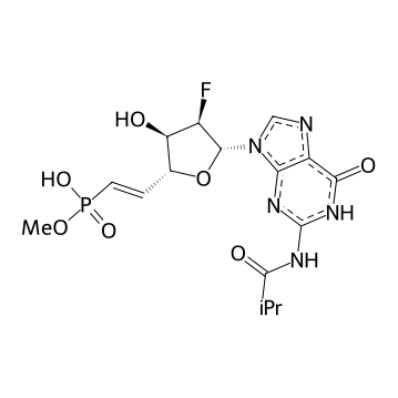 COP(=O)(O)/C=C/[C@H]1O[C@@H](n2cnc3c(=O)[nH]c(NC(=O)C(C)C)nc32)[C@H](F)[C@@H]1O